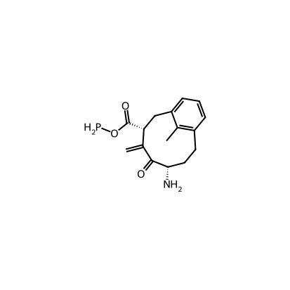 C=C1C(=O)[C@@H](N)CCc2cccc(c2C)C[C@H]1C(=O)OP